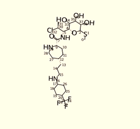 CSC1O[C@H]([C@H](NC(=O)[C@@H]2CC[C@H](CCCNC3CCC(C(F)(F)F)CC3)CCN2)[C@H](C)Cl)C(O)C(O)[C@H]1O